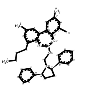 CCCCc1cc(C)cc2c1op(OCP1[C@@H](c3ccccc3)CC[C@H]1c1ccccc1)oc1c(I)cc(C)cc12